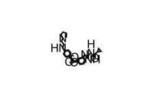 O=C(Nc1nc2cc(OS(=O)(=O)c3ccc(NCCN4CCCC4)cc3)ccc2[nH]1)C1CC1